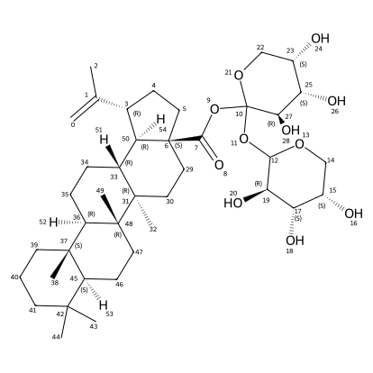 C=C(C)[C@@H]1CC[C@]2(C(=O)OC3(OC4OC[C@H](O)[C@H](O)[C@H]4O)OC[C@H](O)[C@H](O)[C@H]3O)CC[C@]3(C)[C@H](CC[C@@H]4[C@@]5(C)CCCC(C)(C)[C@@H]5CC[C@]43C)[C@@H]12